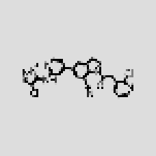 Cn1ncc(Cl)c1Nc1cc(-c2cc(C#N)c3c(c2)CCN3C(=O)Cc2cccnc2Cl)ccn1